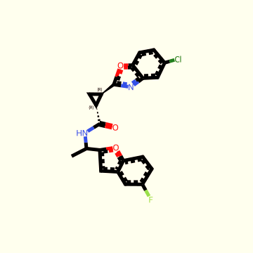 CC(NC(=O)[C@@H]1C[C@H]1c1nc2cc(Cl)ccc2o1)c1cc2cc(F)ccc2o1